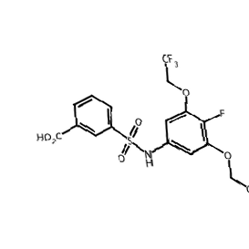 O=C(O)c1cccc(S(=O)(=O)Nc2cc(OCC(F)(F)F)c(F)c(OCC(F)(F)F)c2)c1